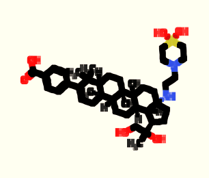 CC(O)(CO)[C@@H]1CC[C@]2(NCCN3CCS(O)(O)CC3)CC[C@]3(C)[C@H](CC[C@@H]4[C@@]5(C)CC=C(c6ccc(C(=O)O)cc6)C(C)(C)[C@@H]5CC[C@]43C)[C@@H]12